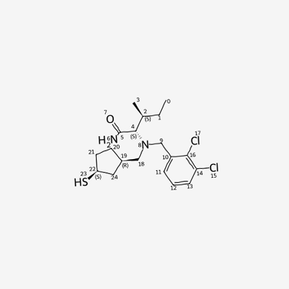 CC[C@H](C)[C@@H](C(N)=O)N(Cc1cccc(Cl)c1Cl)C[C@@H]1CC[C@H](S)C1